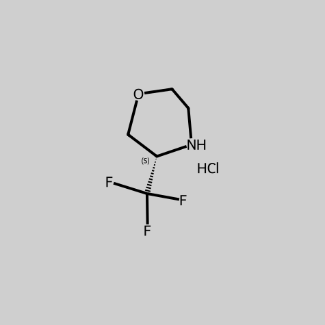 Cl.FC(F)(F)[C@@H]1COCCN1